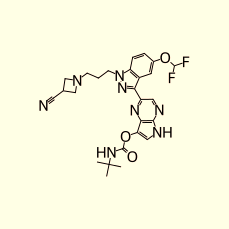 CC(C)(C)NC(=O)Oc1c[nH]c2ncc(-c3nn(CCCN4CC(C#N)C4)c4ccc(OC(F)F)cc34)nc12